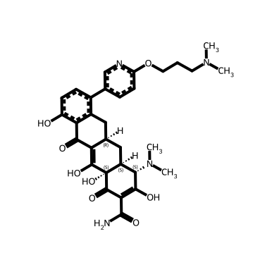 CN(C)CCCOc1ccc(-c2ccc(O)c3c2C[C@H]2C[C@H]4[C@H](N(C)C)C(O)=C(C(N)=O)C(=O)[C@@]4(O)C(O)=C2C3=O)cn1